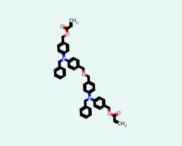 C=CC(=O)OCc1ccc(N(Cc2ccccc2)c2ccc(COCc3ccc(N(Cc4ccccc4)c4ccc(COC(=O)C=C)cc4)cc3)cc2)cc1